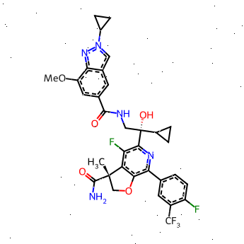 COc1cc(C(=O)NC[C@](O)(c2nc(-c3ccc(F)c(C(F)(F)F)c3)c3c(c2F)[C@@](C)(C(N)=O)CO3)C2CC2)cc2cn(C3CC3)nc12